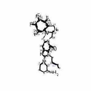 C/C=C/Cn1c(N2CCCC(N)C2)nc2ccn(CC3=NCc4c(F)c(F)c(F)c(F)c4N3C)c(=O)c21